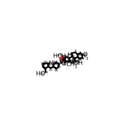 C[C@]12C=CC(=O)C=C1CC[C@@H]1[C@@H]2[C@@H](O)C[C@@]2(C)[C@H]1C[C@H]1O[C@@H](c3ccc(Cc4c(N)cccc4CO)cc3)O[C@]12C(=O)CO